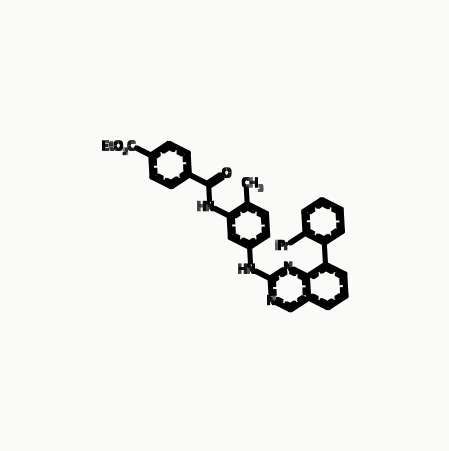 CCOC(=O)c1ccc(C(=O)Nc2cc(Nc3ncc4cccc(-c5ccccc5C(C)C)c4n3)ccc2C)cc1